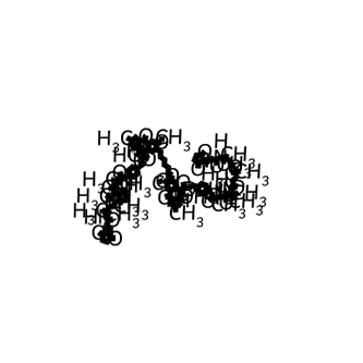 COc1cc2c(cc1CCCCCCOc1cc3c(cc1OC)C(=O)N1C=C(C)C[C@H]1[C@H](O)N3C(=O)OCc1ccc(NC(=O)[C@H](C)NC(=O)[C@@H](NC(=O)CCC(C)(C)OCCC(C)(C)NC(=O)CCN3C(=O)C=CC3=O)C(C)C)cc1)N(C(=O)OCc1ccc(NC(=O)[C@H](C)NC(=O)[C@H](C(C)C)N3C(=O)CCC3(C)OCCC(C)(C)NC(=O)CCN3C(=O)C=CC3=O)cc1)[C@@H](O)[C@@H]1CC(C)=CN1C2=O